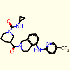 O=C(NC1CC1)N1CCCC(C(=O)N2CCc3c(cccc3Nc3ccc(C(F)(F)F)cn3)C2)C1